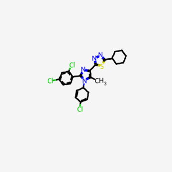 Cc1c(-c2nnc(C3CCCCC3)s2)nc(-c2ccc(Cl)cc2Cl)n1C1C=CC(Cl)=CC1